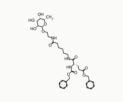 C[C@@H]1O[C@@H](OCCNC(=O)CCCCCNC(=O)[C@H](CCC(=O)OCc2ccccc2)NC(=O)OCc2ccccc2)[C@@H](O)[C@H](O)[C@@H]1O